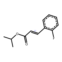 CC(C)OC(=O)/C=C/c1ccccc1F